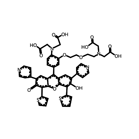 O=C(O)CN(CCOCCOc1cc(-c2c3cc(-c4ccncc4)c(=O)c(-c4cccs4)c-3oc3c(-c4cccs4)c(O)c(-c4ccncc4)cc23)ccc1N(CC(=O)O)CC(=O)O)CC(=O)O